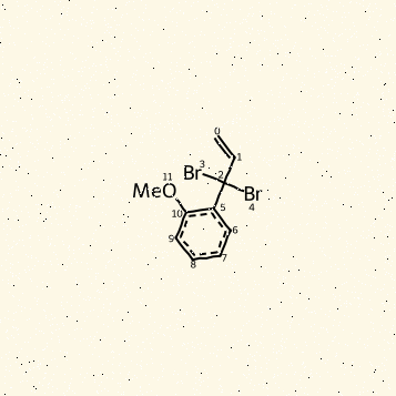 C=CC(Br)(Br)c1ccccc1OC